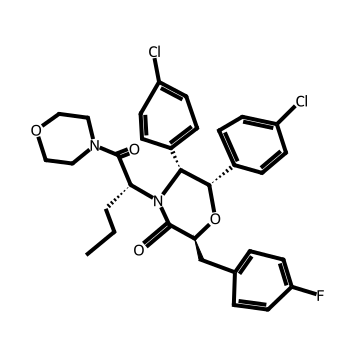 CCC[C@H](C(=O)N1CCOCC1)N1C(=O)[C@H](Cc2ccc(F)cc2)O[C@@H](c2ccc(Cl)cc2)[C@H]1c1ccc(Cl)cc1